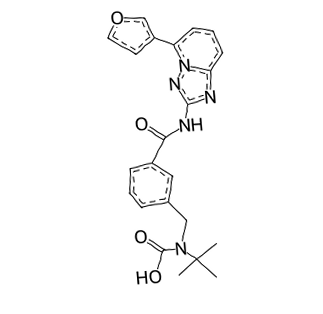 CC(C)(C)N(Cc1cccc(C(=O)Nc2nc3cccc(-c4ccoc4)n3n2)c1)C(=O)O